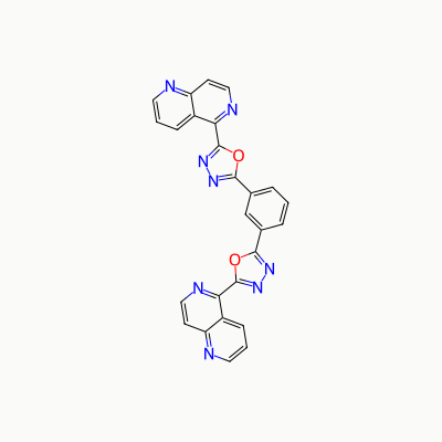 c1cc(-c2nnc(-c3nccc4ncccc34)o2)cc(-c2nnc(-c3nccc4ncccc34)o2)c1